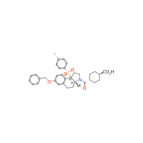 O=C(O)[C@H]1CC[C@H](C(=O)N2CC[C@@]3(S(=O)(=O)c4ccc(F)cc4)c4ccc(OCc5ccccc5)cc4CC[C@@H]23)CC1